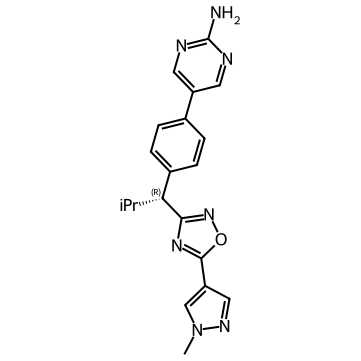 CC(C)[C@H](c1ccc(-c2cnc(N)nc2)cc1)c1noc(-c2cnn(C)c2)n1